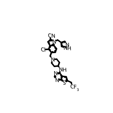 N#Cc1cc2c(Cl)c(CN3CCC(Nc4ncnc5sc(CC(F)(F)F)cc45)CC3)ccc2n1Cc1cn[nH]c1